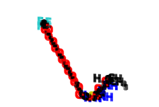 CC(C)(C)CC(=O)NCCCN1CCNC2=Nc3cc(CN4CCN(C(=O)CCOCCOCCOCCOCCOCCOCCOCCOCCOCCOCCC(=O)Oc5c(F)c(F)cc(F)c5F)CC4)sc3C=C(C2)C1=O